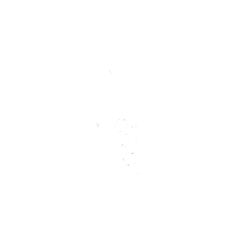 COc1cc2c(Nc3ccc(Br)cc3F)ncnc2cc1OCCCN1CCN(C)CC1.Cl